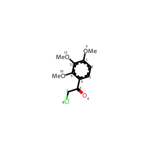 COc1ccc(C(=O)CCl)c(OC)c1OC